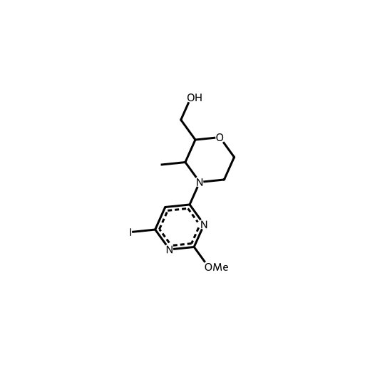 COc1nc(I)cc(N2CCOC(CO)C2C)n1